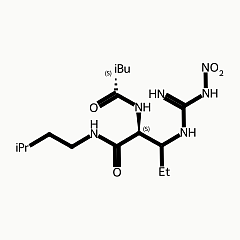 CCC(NC(=N)N[N+](=O)[O-])[C@H](NC(=O)[C@@H](C)CC)C(=O)NCCC(C)C